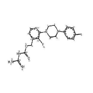 Cc1ccc(N2CCN(c3nccc(COC(=O)NC(=N)N)c3F)CC2)cc1